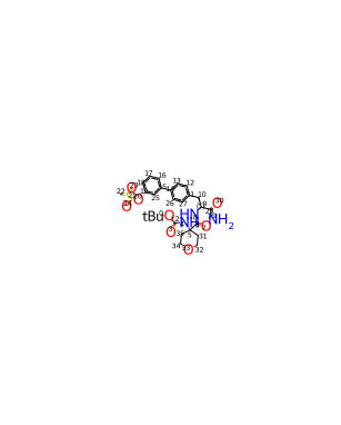 CC(C)(C)OC(=O)NC1(C(=O)N[C@@H](Cc2ccc(-c3cccc(OS(C)(=O)=O)c3)cc2)C(N)=O)CCOCC1